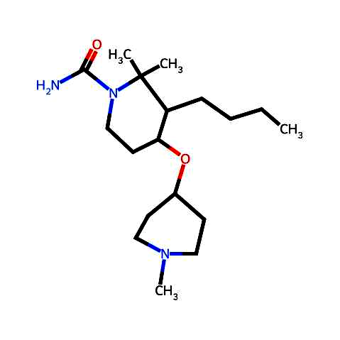 CCCCC1C(OC2CCN(C)CC2)CCN(C(N)=O)C1(C)C